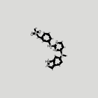 CN(c1ccc2cn[nH]c2c1)c1ccnc(Nc2cccc(CS(C)(=O)=O)c2)n1